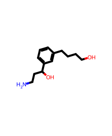 NCCC(O)c1cccc(CCCCO)c1